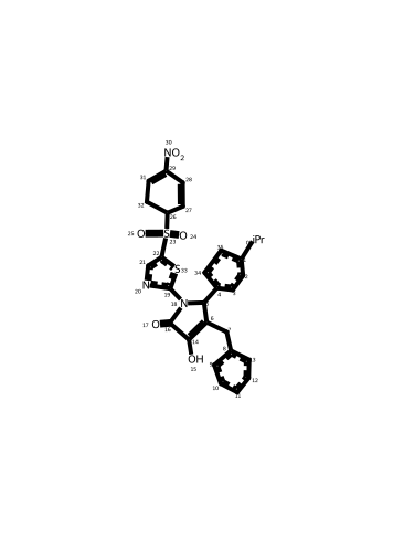 CC(C)c1ccc(C2C(Cc3ccccc3)=C(O)C(=O)N2c2ncc(S(=O)(=O)C3C=CC([N+](=O)[O-])=CC3)s2)cc1